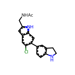 CC(=O)NCc1cc2cc(Cl)c(-c3ccc4c(c3)CCN4)cc2[nH]1